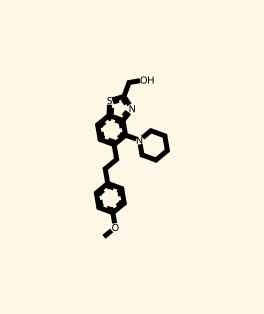 COc1ccc(CCc2ccc3sc(CO)nc3c2N2CCCCC2)cc1